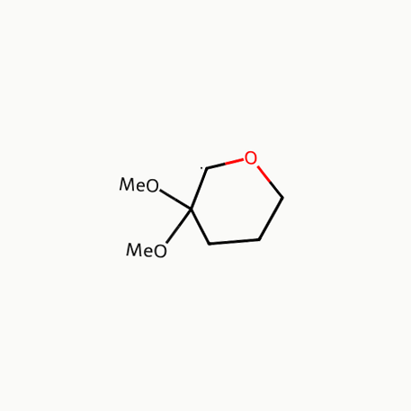 COC1(OC)[CH]OCCC1